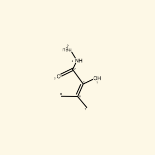 CCCCNC(=O)C(O)=C(C)C